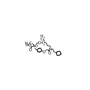 CCCCCCN(CCc1ccccc1)C(=O)COc1ccc(C[C@](CC)(OCC)C(=O)O)cc1